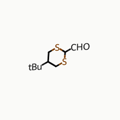 CC(C)(C)C1CSC(C=O)SC1